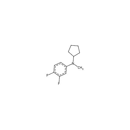 CN(c1ccc(F)c(F)c1)C1CCCC1